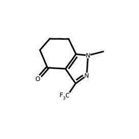 Cn1nc(C(F)(F)F)c2c1CCCC2=O